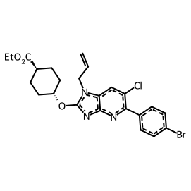 C=CCn1c(O[C@H]2CC[C@H](C(=O)OCC)CC2)nc2nc(-c3ccc(Br)cc3)c(Cl)cc21